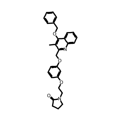 Cc1c(COc2cccc(OCCN3CCCC3=O)c2)nc2ccccc2c1OCc1ccccc1